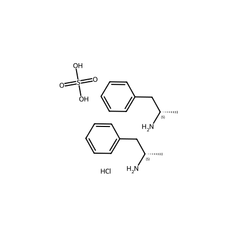 C[C@H](N)Cc1ccccc1.C[C@H](N)Cc1ccccc1.Cl.O=S(=O)(O)O